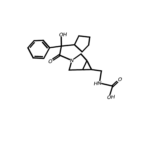 O=C(O)NCC1C2CN(C(=O)C(O)(c3ccccc3)C3CCCC3)CC12